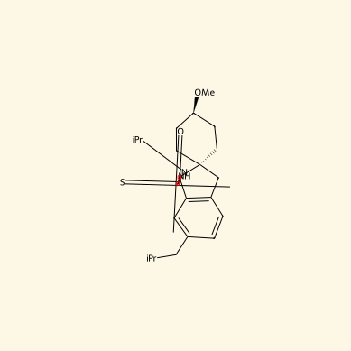 CO[C@H]1CC[C@]2(CC1)Cc1ccc(CC(C)C)cc1C21NC(=S)N(C(C)C)C1=O